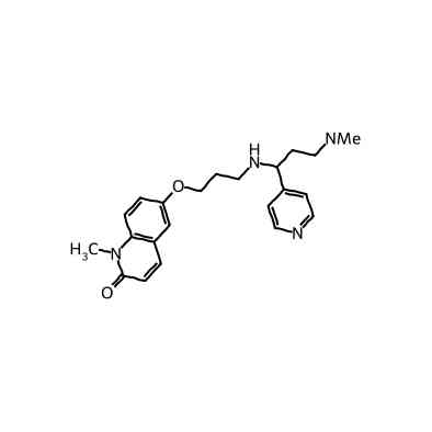 CNCCC(NCCCOc1ccc2c(ccc(=O)n2C)c1)c1ccncc1